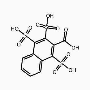 O=C(O)c1c(S(=O)(=O)O)c(S(=O)(=O)O)c2ccccc2c1S(=O)(=O)O